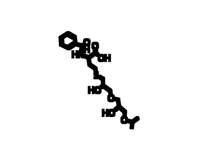 CC(C)OCC(O)COCC(O)CSCCC(NC(O)c1ccccc1)C(=O)O